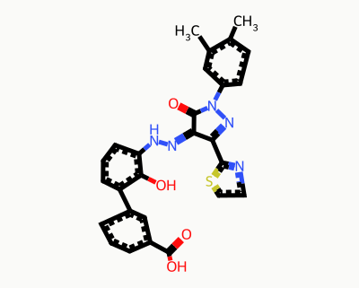 Cc1ccc(N2N=C(c3nccs3)C(=NNc3cccc(-c4cccc(C(=O)O)c4)c3O)C2=O)cc1C